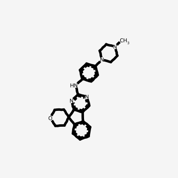 CN1CCN(c2ccc(Nc3ncc4c(n3)C3(CCOCC3)c3ccccc3-4)cc2)CC1